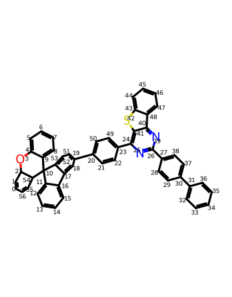 C1=CC2Oc3ccccc3C3(c4ccccc4-c4cc(-c5ccc(-c6nc(-c7ccc(-c8ccccc8)cc7)nc7c6sc6ccccc67)cc5)ccc43)C2C=C1